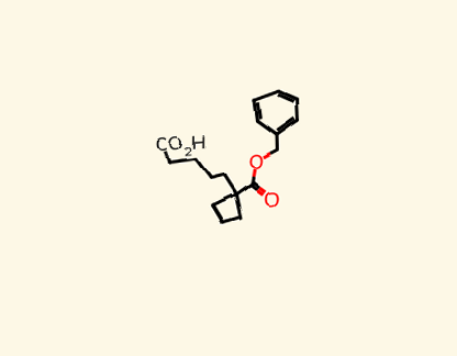 O=C(O)CCCCC1(C(=O)OCc2ccccc2)CCC1